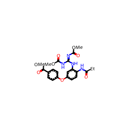 CCC(=O)Nc1ccc(Oc2ccc(C(=O)OC)cc2)cc1NC(=NC(=O)OC)NC(=O)OC